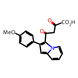 COc1ccc(-c2cc3ccccn3c2C(=O)CC(=O)C(=O)O)cc1